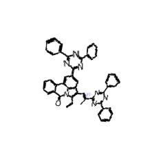 C=Cc1c(/C=C(\C)c2nc(-c3ccccc3)nc(-c3ccccc3)n2)c2cc(-c3nc(-c4ccccc4)nc(-c4ccccc4)n3)cc3c4ccccc4c(=O)n1c23